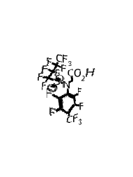 O=C(O)CN(c1c(F)c(F)c(C(F)(F)F)c(F)c1F)S(=O)(=O)C(F)(F)C(F)(F)C(F)(F)C(F)(F)F